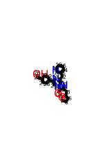 O=c1c(Cc2ccco2)nc2c(Cc3ccccc3)[nH]c(-c3ccc(CO)cc3)cn1-2